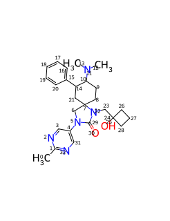 Cc1ncc(N2CC3(CCC(N(C)C)C(c4ccccc4)C3)N(CC3(O)CCC3)C2=O)cn1